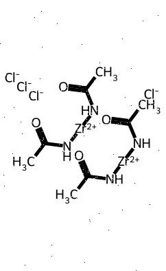 CC(=O)[NH][Zr+2][NH]C(C)=O.CC(=O)[NH][Zr+2][NH]C(C)=O.[Cl-].[Cl-].[Cl-].[Cl-]